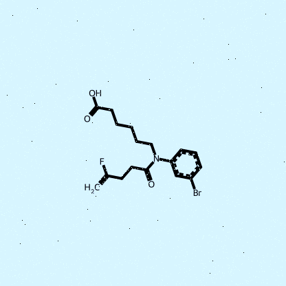 C=C(F)CCC(=O)N(CCCCCC(=O)O)c1cccc(Br)c1